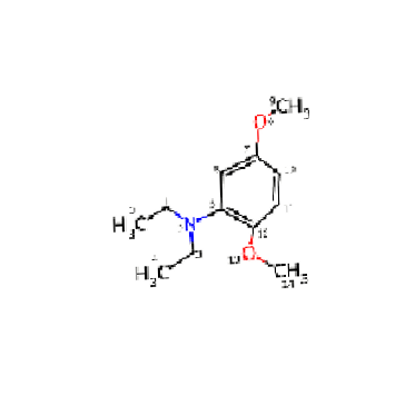 CCN(CC)c1cc(OC)ccc1OC